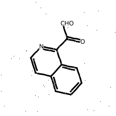 O=CC(=O)c1nccc2ccccc12